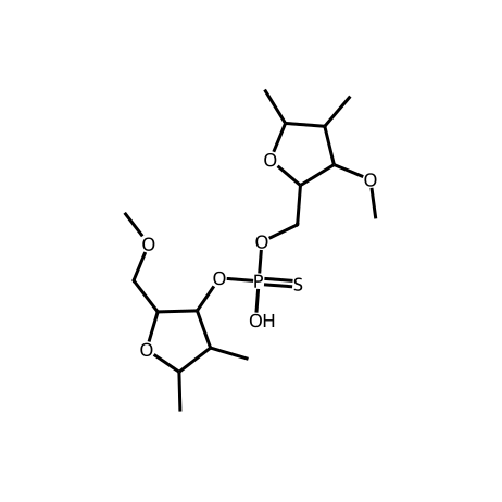 COCC1OC(C)C(C)C1OP(O)(=S)OCC1OC(C)C(C)C1OC